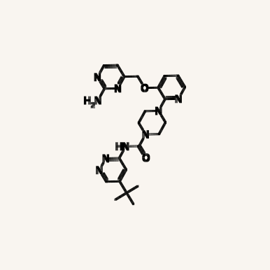 CC(C)(C)c1cnnc(NC(=O)N2CCN(c3ncccc3OCc3ccnc(N)n3)CC2)c1